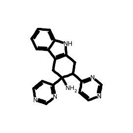 NC1(c2ccncn2)Cc2c([nH]c3ccccc23)CC1c1ccncn1